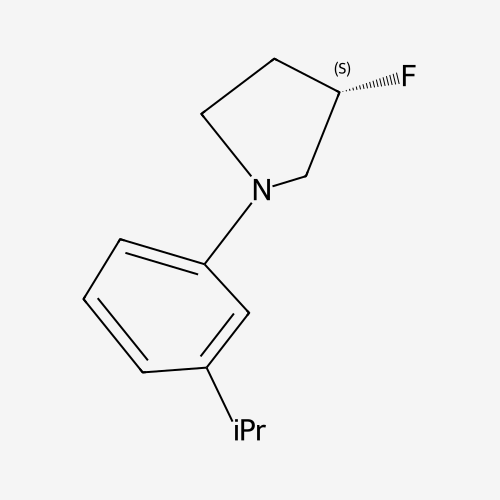 CC(C)c1cccc(N2CC[C@H](F)C2)c1